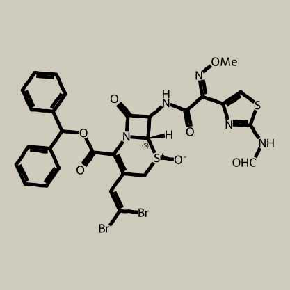 CON=C(C(=O)NC1C(=O)N2C(C(=O)OC(c3ccccc3)c3ccccc3)=C(C=C(Br)Br)C[S+]([O-])[C@@H]12)c1csc(NC=O)n1